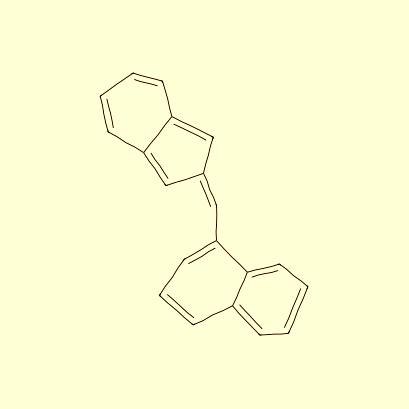 C(=C1C=c2ccccc2=C1)c1cccc2ccccc12